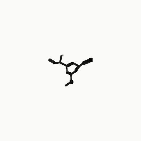 [CH2]C(C=C)c1cc(C#N)cc(OC)c1